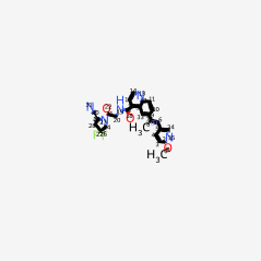 COc1ccc(/C=C(\C)c2ccc3nccc(C(=O)NCC(=O)N4CC(F)(F)C[C@H]4C#N)c3c2)cn1